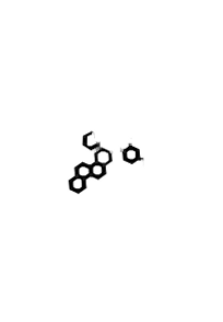 C1=CCOC=C1.Fc1ccc(OC2CCc3c(ccc4c3ccc3ccccc34)C2)c(Br)c1